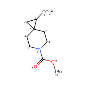 CCOC(=O)C1CC12CCN(C(=O)OC(C)(C)C)CC2